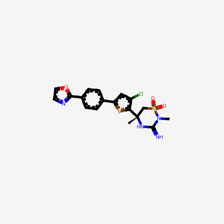 CN1C(=N)N[C@](C)(c2sc(-c3ccc(-c4ncco4)cc3)cc2Cl)CS1(=O)=O